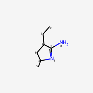 CCC1CC(C)N=C1N